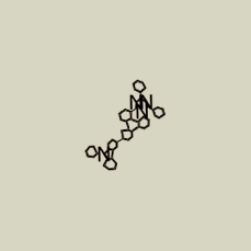 c1ccc(-c2nc(-c3ccccc3)nc(-c3cccc4c5cc(-c6ccc7c(c6)c6ccccc6n7-c6ccccc6)ccc5c5ccccc5c34)n2)cc1